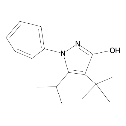 CC(C)c1c(C(C)(C)C)c(O)nn1-c1ccccc1